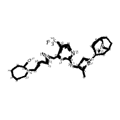 Cc1nn(C2CC3CCC(C2)N3C)cc1Nc1ncc(C(F)(F)F)c(NCCCN2CCCCCC2=O)n1